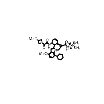 COc1ccc(C2CCCCC2)c2c1cc1n2CC2=C(C(=O)NS(=O)(=O)N(C)C)C2=C2C=CC[C@@H](NC(=O)C(=O)N3CC(OC)C3)C21